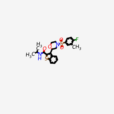 Cc1cc(S(=O)(=O)N2CCOC(c3c(C(=O)NC(C)C)sc4ccccc34)C2)ccc1F